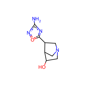 Nc1noc(C2CN3CC(O)C2C3)n1